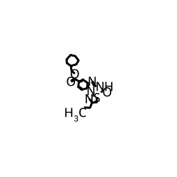 CCCC1CSC(n2c(NC=O)nc3cc(C(=O)OCC4CCCCCC4)ccc32)=N1